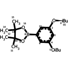 CC[C@H](C)Oc1cc(OC[C](C)C)cc(B2OC(C)(C)C(C)(C)O2)c1